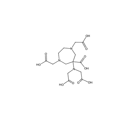 O=C(O)CN1CCN(CC(=O)O)CC(C(=O)O)(N(CC(=O)O)CC(=O)O)C1